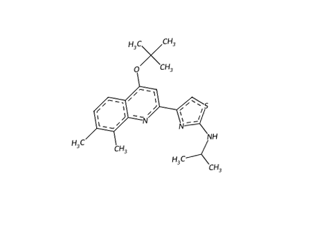 Cc1ccc2c(OC(C)(C)C)cc(-c3csc(NC(C)C)n3)nc2c1C